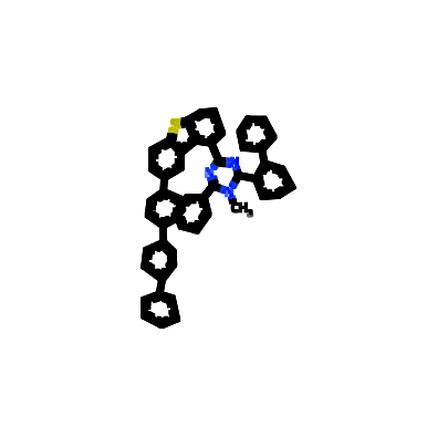 CN1C(c2ccccc2)=NC(c2cccc3sc4ccc(-c5ccc(-c6ccc(-c7ccccc7)cc6)cc5)cc4c23)=NC1c1ccccc1-c1ccccc1